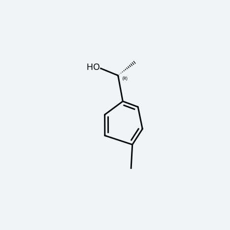 Cc1ccc([C@@H](C)O)cc1